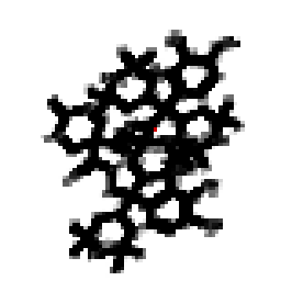 CC1OCC(C(=O)OCC(c2ccc(C(C)(C)C)c(O)c2C(C)(C)C)(C2CC(C)(C)NC(C)(C)C2)C2CC(C)(C)NC(C)(C)C2)(C(=O)OCC(c2ccc(C(C)(C)C)c(O)c2C(C)(C)C)(C2CC(C)(C)NC(C)(C)C2)C2CC(C)(C)NC(C)(C)C2)CO1